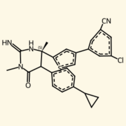 CN1C(=N)N[C@](C)(c2cc(-c3cc(Cl)cc(C#N)c3)cs2)C(c2ccc(C3CC3)cc2)C1=O